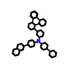 c1ccc(-c2ccc(N(c3ccc(-c4ccc5ccccc5c4)cc3)c3cccc(-c4cccc(-c5ccccc5)c4-c4ccccc4-c4ccccc4)c3)cc2)cc1